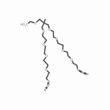 CC(COCCOCCOCCOCCN=[N+]=[N-])(COCCOCCOCCOCCN=[N+]=[N-])COCC(=O)O